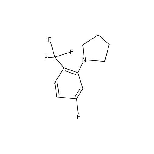 Fc1ccc(C(F)(F)F)c(N2CCCC2)c1